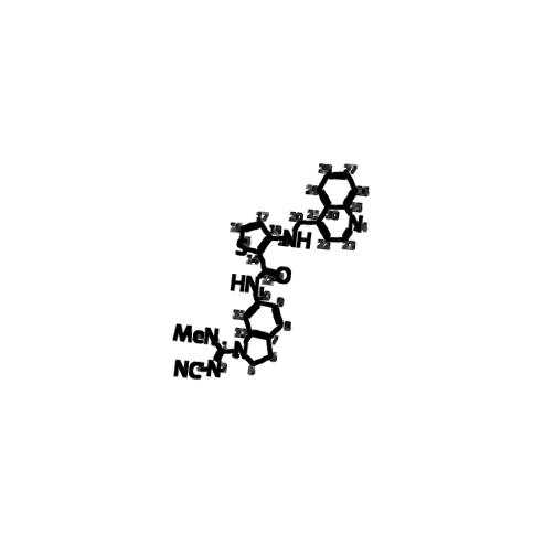 CN/C(=N\C#N)N1CCc2ccc(NC(=O)c3sccc3NCc3ccnc4ccccc34)cc21